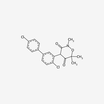 CN1OC(C)(C)C(=O)C(c2cc(-c3ccc(Cl)cc3)ccc2Cl)C1=O